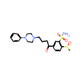 C[S+]([O-])c1ccc(C(=O)CCCN2CCN(c3ccccc3)CC2)cc1S(N)(=O)=O